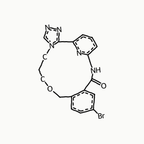 O=C1Nc2cccc(n2)-c2nncn2CCCOCc2ccc(Br)cc21